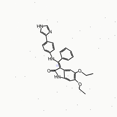 CCOc1cc2c(cc1OCC)/C(=C(/Nc1ccc(-c3c[nH]cn3)cc1)c1ccccc1)C(=O)N2